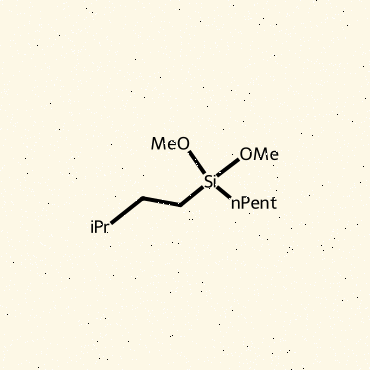 CCCCC[Si](CCC(C)C)(OC)OC